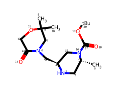 C[C@@H]1CN[C@@H](CN2CC(C)(C)OCC2=O)CN1C(=O)OC(C)(C)C